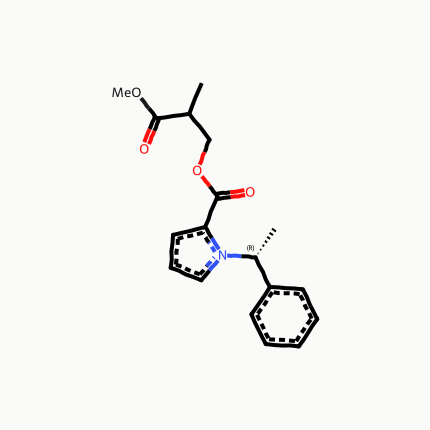 COC(=O)C(C)COC(=O)c1cccn1[C@H](C)c1ccccc1